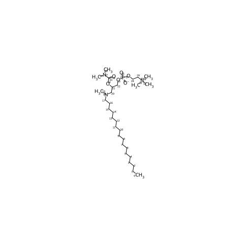 CCCCCCCCCCCCCCCCCCN(C)CC(COP(=O)([O-])OCC[N+](C)(C)C)OC(=O)N(C)C